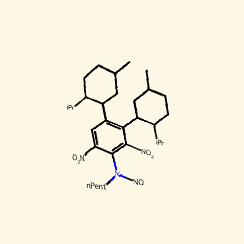 CCCCCN(N=O)c1c([N+](=O)[O-])cc(C2CC(C)CCC2C(C)C)c(C2CC(C)CCC2C(C)C)c1[N+](=O)[O-]